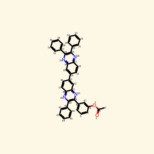 CC(=O)Oc1cccc(-c2nc3cc(-c4ccc5nc(-c6ccccc6)c(-c6ccccc6)nc5c4)ccc3nc2-c2ccccc2)c1